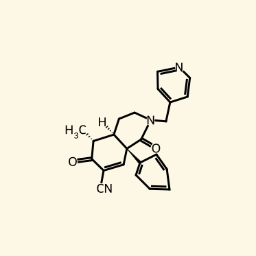 C[C@H]1C(=O)C(C#N)=C[C@@]2(c3ccccc3)C(=O)N(Cc3ccncc3)CC[C@H]12